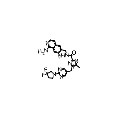 Cc1nc(C(=O)NCc2cc3ccnc(N)c3cc2F)nn1Cc1cnc(N2CCC(F)(F)C2)nc1